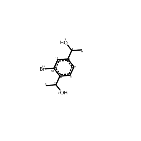 CC(O)c1ccc(C(C)O)c(Br)c1